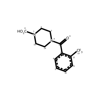 O=C(O)N1CCN(C(=O)c2ccccc2C(F)(F)F)CC1